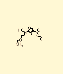 CCOCCN(C)c1nc(C(=O)OCC)co1